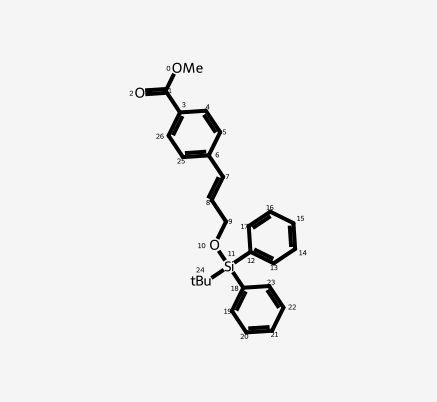 COC(=O)c1ccc(C=CCO[Si](c2ccccc2)(c2ccccc2)C(C)(C)C)cc1